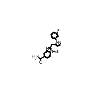 CCn1c(Cc2ccnn2-c2cccc(F)c2)nc2cc(C(N)=O)ccc21